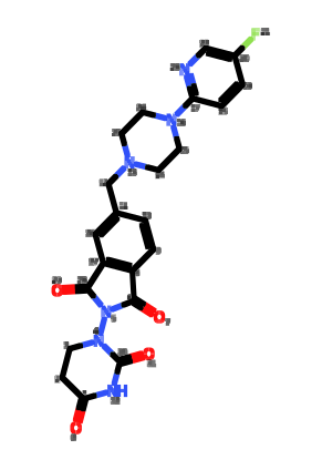 O=C1CCN(N2C(=O)c3ccc(CN4CCN(c5ccc(F)cn5)CC4)cc3C2=O)C(=O)N1